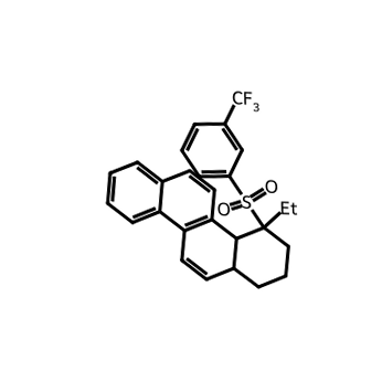 CCC1(S(=O)(=O)c2cccc(C(F)(F)F)c2)CCCC2C=Cc3c(ccc4ccccc34)C21